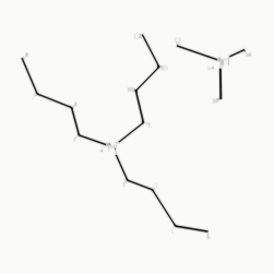 CCCCN(CCCC)CCCC.[CH3][In]([CH3])[CH3]